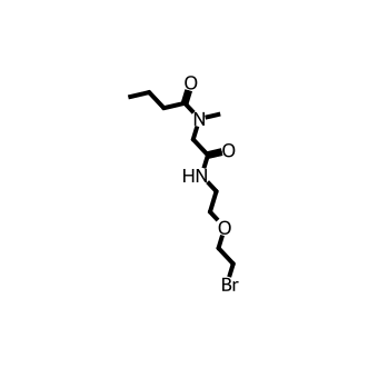 CCCC(=O)N(C)CC(=O)NCCOCCBr